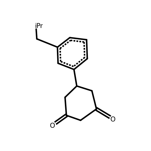 CC(C)Cc1cccc(C2CC(=O)CC(=O)C2)c1